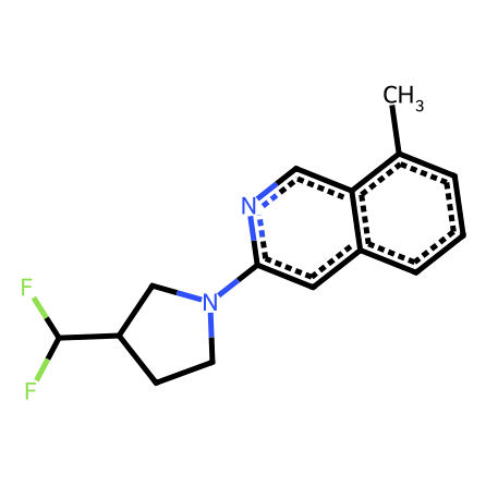 Cc1cccc2cc(N3CCC(C(F)F)C3)ncc12